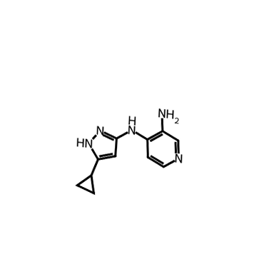 Nc1cnccc1Nc1cc(C2CC2)[nH]n1